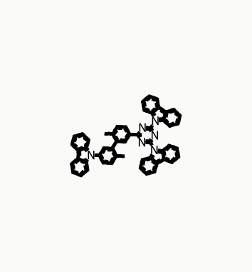 Cc1ccc(-c2nc(-n3c4ccccc4c4ccccc43)nc(-n3c4ccccc4c4ccccc43)n2)cc1-c1cc(-n2c3ccccc3c3ccccc32)ccc1C